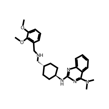 COc1cccc(CNC[C@H]2CC[C@H](Nc3nc(N(C)C)c4ccccc4n3)CC2)c1OC